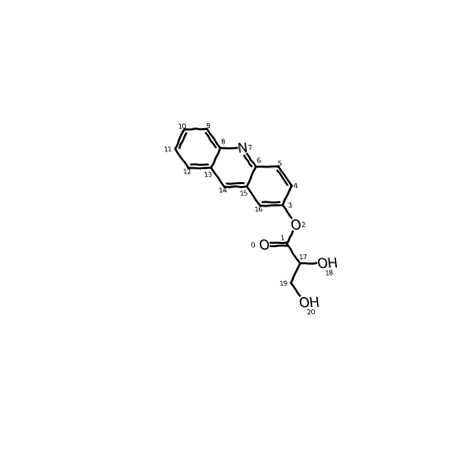 O=C(Oc1ccc2nc3ccccc3cc2c1)C(O)CO